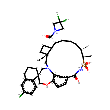 C[C@@H]1[C@@H](C)CCC[C@@H](C(=O)N2CC(F)(F)C2)C2CC[C@H]2CN2C[C@@]3(CCCc4cc(Cl)ccc43)COc3ccc(cc32)C(=O)NS1(=O)=O